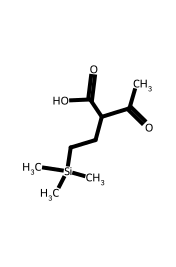 CC(=O)C(CC[Si](C)(C)C)C(=O)O